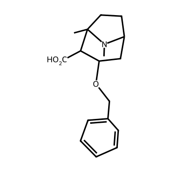 CN1C2CCC1(C)C(C(=O)O)C(OCc1ccccc1)C2